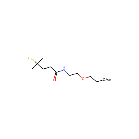 COCCOCCNC(=O)CCC(C)(C)S